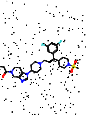 CS(=O)(=O)N1CCC([C@@H](CCN2CCC(n3cnc4c3CCN(C(=O)CC(F)(F)F)C4)CC2)c2cc(F)cc(F)c2)CC1